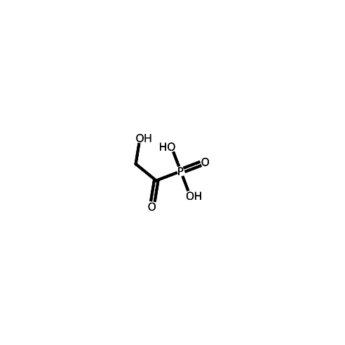 O=C(CO)P(=O)(O)O